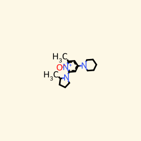 Cc1cc(N2CCCCC2)cc(N2CCCC2C)[n+]1[O-]